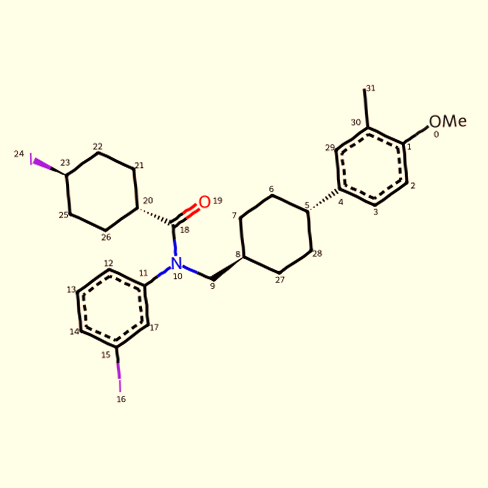 COc1ccc([C@H]2CC[C@H](CN(c3cccc(I)c3)C(=O)[C@H]3CC[C@H](I)CC3)CC2)cc1C